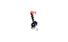 OCCCCCCSc1ccnc2cc(C(F)(F)F)ccc12